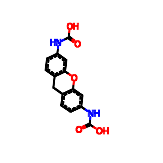 O=C(O)Nc1ccc2c(c1)Oc1cc(NC(=O)O)ccc1C2